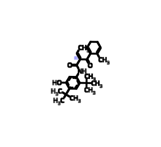 C/C=C(/C(=O)Nc1cc(O)c(C(C)(C)C)cc1C(C)(C)C)C(=O)C1=CCCC=C1C